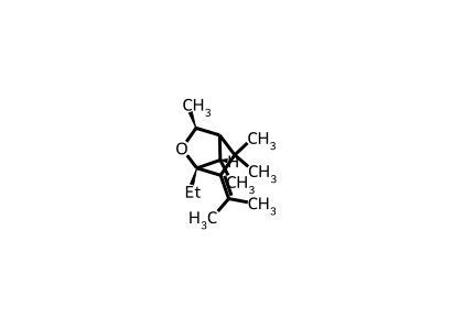 CC[C@@]12O[C@@H](C)C([C@@H]1C)C(C)(C)C2=C(C)C